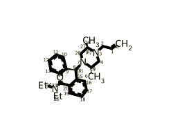 C=CCN1C[C@H](C)N([C@H](c2ccccc2)c2ccccc2C(=O)N(CC)CC)C[C@H]1C